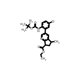 CCOC(=O)C1CC(C)c2cc(-c3cc(Cl)ccc3NC(=O)OC(C)(C)C)cnc21